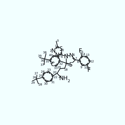 Cc1nnc(N2N=C(c3cc(F)ccc3F)SC2(CCC(N)c2ccc(C(C)(C)C)cc2)c2ccc(C(C)(C)C)cc2)s1